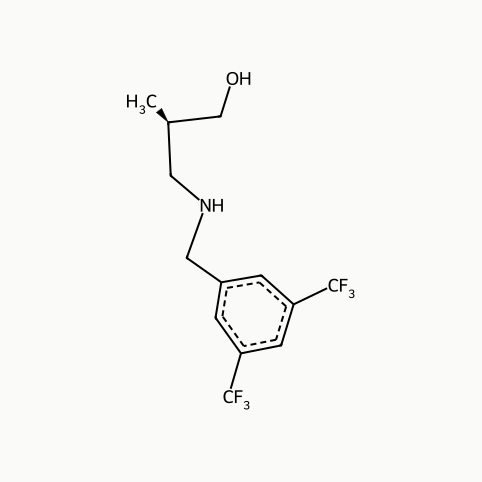 C[C@@H](CO)CNCc1cc(C(F)(F)F)cc(C(F)(F)F)c1